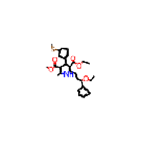 CCOC(=O)C1=C(CCC(OCC)c2ccccc2)NC(C)=C(C(=O)OC)C1c1cccc(SC)c1